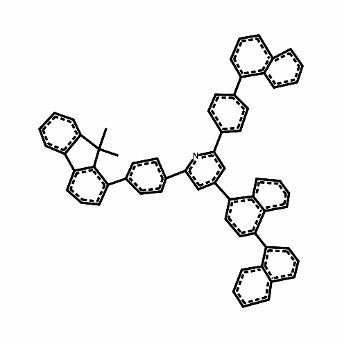 CC1(C)c2ccccc2-c2cccc(-c3ccc(-c4cc(-c5ccc(-c6cccc7ccccc67)c6ccccc56)cc(-c5ccc(-c6cccc7ccccc67)cc5)n4)cc3)c21